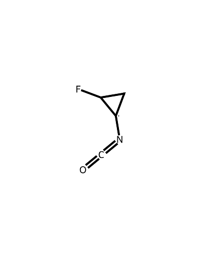 O=C=N[C]1CC1F